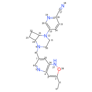 CCC1=Cc2ncc(CN3CCN(c4ccc(C#N)nc4)C4CCC43)cc2NO1